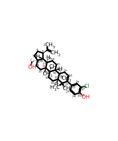 C=C(C)[C@@H]1CC[C@]2(CO)CC[C@]3(C)[C@H](CC[C@@H]4[C@@]5(C)CC=C(c6ccc(O)c(Cl)c6)C(C)(C)[C@@H]5CC[C@]43C)[C@@H]12